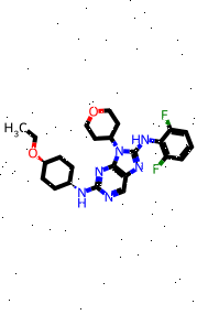 CCO[C@H]1CC[C@H](Nc2ncc3nc(Nc4c(F)cccc4F)n(C4CCOCC4)c3n2)CC1